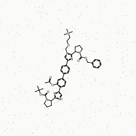 CC(=O)Oc1cc(-c2ccc(-c3cn(COCC[Si](C)(C)C)c(C4CCCN4C(=O)OCc4ccccc4)n3)cc2)ccc1-c1c[nH]c(C2CCCN2C(=O)OC(C)(C)C)n1